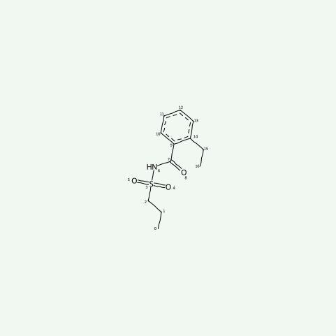 CCCS(=O)(=O)NC(=O)c1ccccc1CC